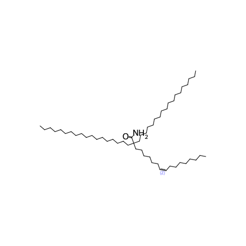 CCCCCCCC/C=C\CCCCCCC(CCCCCCCCCCCCCCCCCC)(CCCCCCCCCCCCCCCCCC)C(N)=O